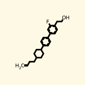 C=CCCC1CCC(c2ccc(-c3ccc(CCO)c(F)c3)cc2)CC1